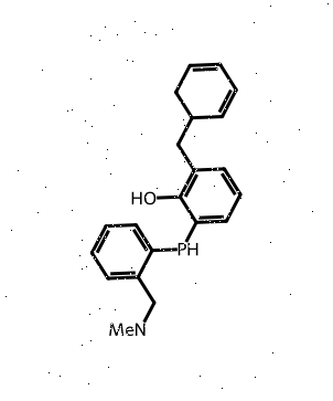 CNCc1ccccc1Pc1cccc(CC2C=CC=CC2)c1O